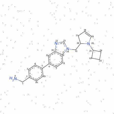 NCc1ccc(-c2ccc3c(c2)ncn3CC2CC=CN2C2CCC2)cc1